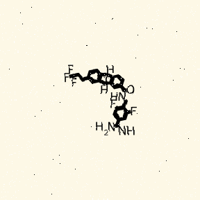 N=C(N)c1cc(F)c(CNC(=O)c2ccc3c(c2)[C@@H]2O[C@H]3c3ccc(CCC(F)(F)F)cc32)c(F)c1